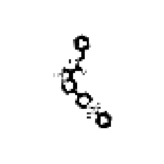 O=C(NCc1ccccc1)C1CNN2CCC(C3CCN(S(=O)(=O)c4ccccc4)CC3)CC12